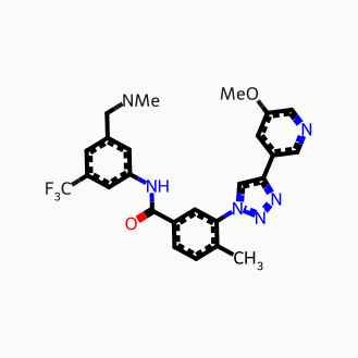 CNCc1cc(NC(=O)c2ccc(C)c(-n3cc(-c4cncc(OC)c4)nn3)c2)cc(C(F)(F)F)c1